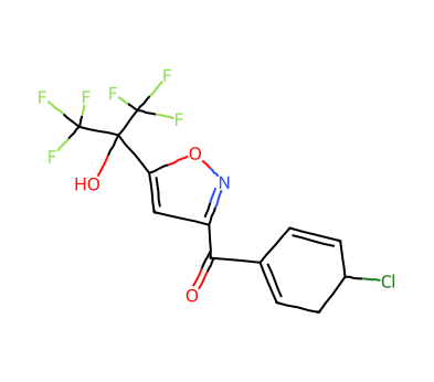 O=C(C1=CCC(Cl)C=C1)c1cc(C(O)(C(F)(F)F)C(F)(F)F)on1